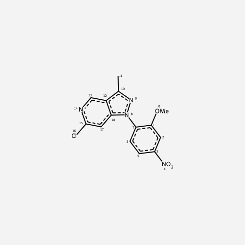 COc1cc([N+](=O)[O-])ccc1-n1nc(C)c2cnc(Cl)cc21